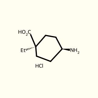 CC[C@]1(C(=O)O)CC[C@@H](N)CC1.Cl